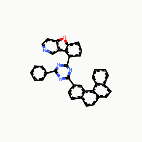 c1ccc(-c2nc(-c3ccc4ccc5ccc6ccccc6c5c4c3)nc(-c3cccc4oc5ccncc5c34)n2)cc1